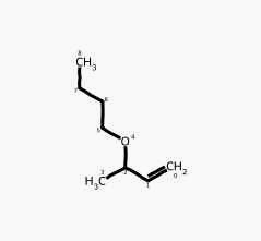 C=CC(C)OCCCC